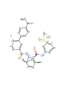 COC(=O)c1ccc(-c2cc(C(=O)N[C@H]3[C@@H](C(=O)Nc4cccc(S(=O)(=O)C(F)(F)F)c4)[C@@H]4C=C[C@H]3C4)ccc2F)cc1